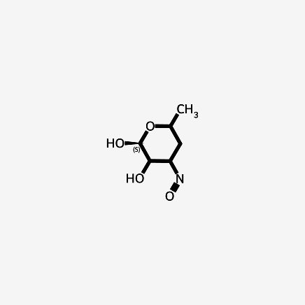 CC1CC(N=O)C(O)[C@@H](O)O1